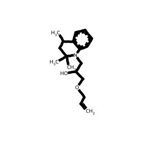 C=CCOCC(O)CN1c2ccccc2C(C)CC1(C)C